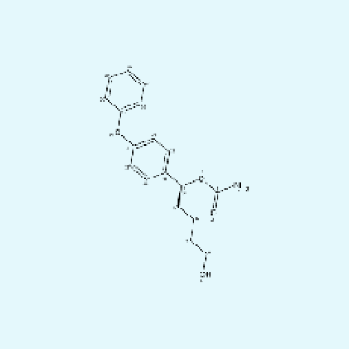 NC(=O)O[C@@H](CCCCO)c1ccc(Oc2ccccc2)cc1